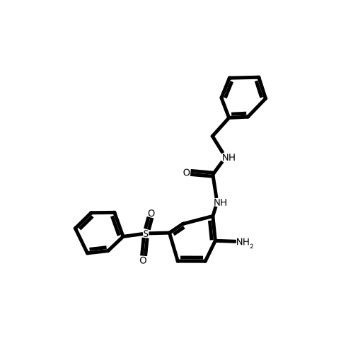 Nc1ccc(S(=O)(=O)c2ccccc2)cc1NC(=O)NCc1ccccc1